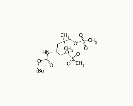 CC(C)(COS(C)(=O)=O)C[C@@H](COS(C)(=O)=O)NC(=O)OC(C)(C)C